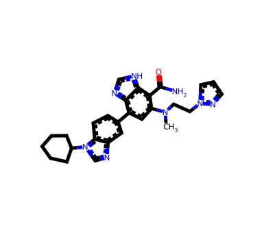 CN(CCn1cccn1)c1cc(-c2ccc3c(c2)ncn3C2CCCCC2)c2nc[nH]c2c1C(N)=O